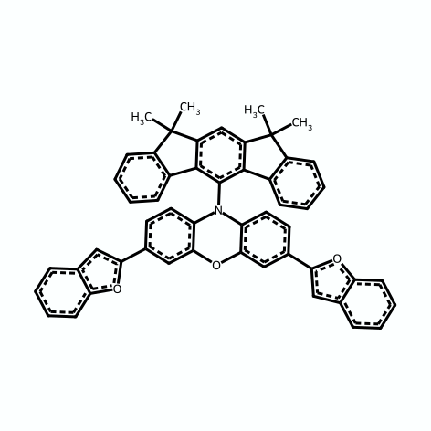 CC1(C)c2ccccc2-c2c1cc1c(c2N2c3ccc(-c4cc5ccccc5o4)cc3Oc3cc(-c4cc5ccccc5o4)ccc32)-c2ccccc2C1(C)C